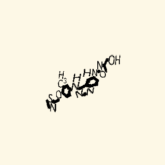 Cc1cc(Nc2ncnc3ccc(NC4=NC(CO)CO4)cc23)ccc1OCc1nccs1